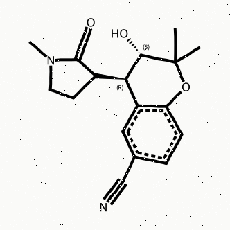 CN1CCC([C@@H]2c3cc(C#N)ccc3OC(C)(C)[C@H]2O)C1=O